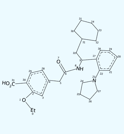 CCOc1cc(CC(=O)NC(CC2CCCCC2)c2ccccc2N2CCCC2)ccc1C(=O)O